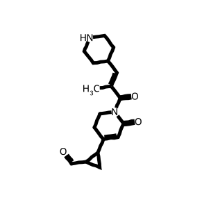 C/C(=C\C1CCNCC1)C(=O)N1CCC(C2CC2C=O)=CC1=O